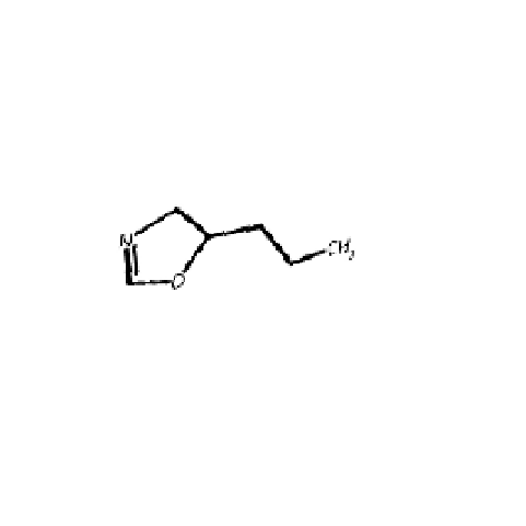 CCCC1CN=CO1